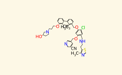 Cc1ncsc1CCNCc1cc(Cl)c(OCc2cccc(-c3cccc(OCCCN4CCC(O)C4)c3C)c2C)cc1OCc1cncc(C#N)c1